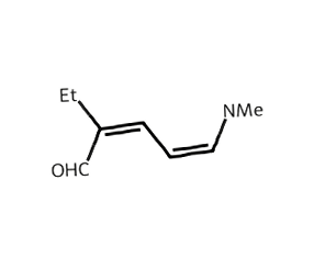 CC/C(C=O)=C/C=C\NC